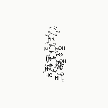 CN(C)[C@@H]1C(O)=C(C(N)=O)C(=O)[C@@]2(O)C(O)=C3C(=O)c4c(O)cc(CN5CC6CCCC6C5)c(F)c4C[C@H]3C[C@@H]12